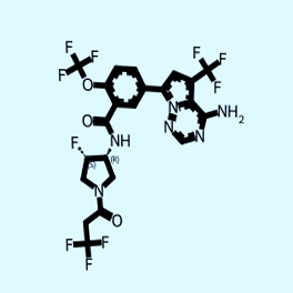 Nc1ncnn2c(-c3ccc(OC(F)(F)F)c(C(=O)N[C@@H]4CN(C(=O)CC(F)(F)F)C[C@@H]4F)c3)cc(C(F)(F)F)c12